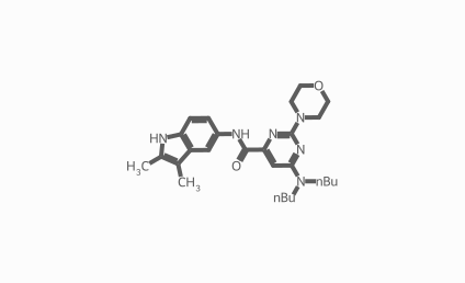 CCCCN(CCCC)c1cc(C(=O)Nc2ccc3[nH]c(C)c(C)c3c2)nc(N2CCOCC2)n1